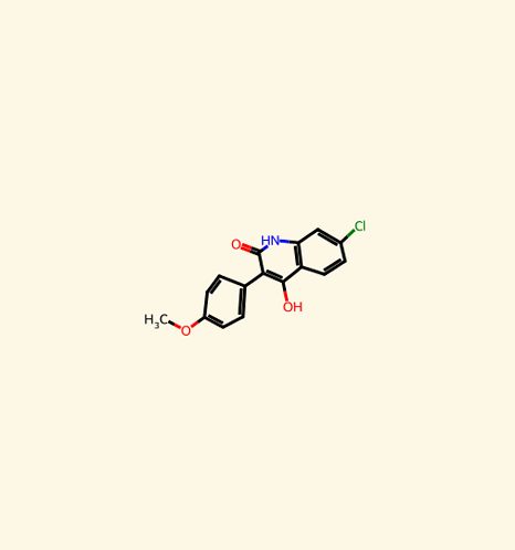 COc1ccc(-c2c(O)c3ccc(Cl)cc3[nH]c2=O)cc1